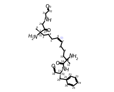 C[C@](N)(CCC/C=C\CCC[C@](C)(N)C(=O)N[C@H](C=O)Cc1ccccc1)C(=O)CNCC=O